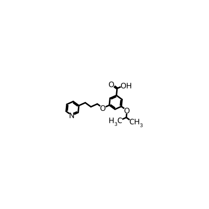 CC(C)Oc1cc(OCCCc2cccnc2)cc(C(=O)O)c1